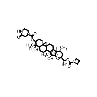 CC(C)[C@@H](OC(=O)N1CCC1)C1C[C@@H](C)[C@H]2C(O1)[C@H](O)[C@@]1(C)C3CC[C@H]4C(C)(C)C(OC(=O)N5CCNC(=O)C5)CC[C@@]45C[C@@]35CC[C@]21C